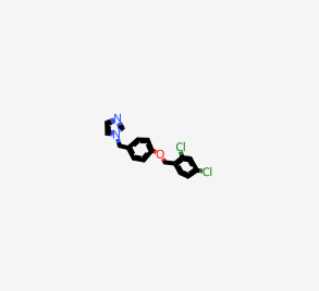 Clc1ccc(COc2ccc(Cn3ccnc3)cc2)c(Cl)c1